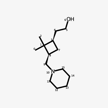 CC1(C)[C@@H](CCO)C[C@H]1CN1CCCCC1